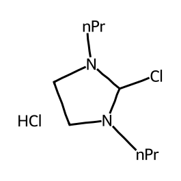 CCCN1CCN(CCC)C1Cl.Cl